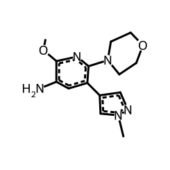 COc1nc(N2CCOCC2)c(-c2cnn(C)c2)cc1N